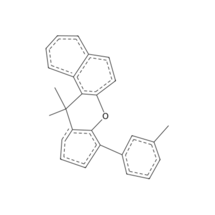 Cc1cccc(-c2cccc3c2Oc2ccc4ccccc4c2C3(C)C)c1